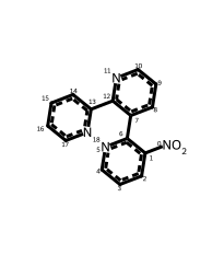 O=[N+]([O-])c1cccnc1-c1cccnc1-c1ccccn1